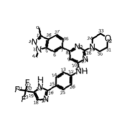 Cc1nn(C)c2cc(-c3cc(Nc4ccc(-c5ncc(C(F)(F)F)[nH]5)cc4)nc(N4CCOCC4)n3)ccc12